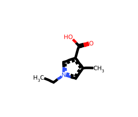 CCn1cc(C)c(C(=O)O)c1